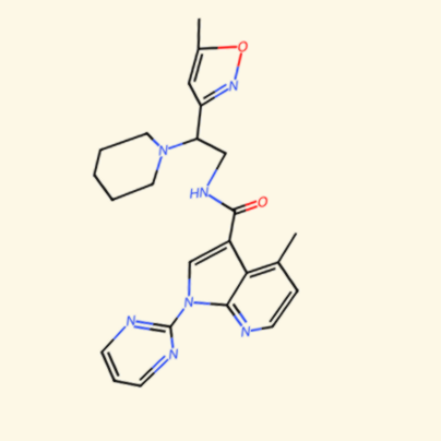 Cc1cc(C(CNC(=O)c2cn(-c3ncccn3)c3nccc(C)c23)N2CCCCC2)no1